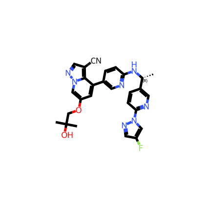 C[C@@H](Nc1ccc(-c2cc(OCC(C)(C)O)cn3ncc(C#N)c23)cn1)c1ccc(-n2cc(F)cn2)nc1